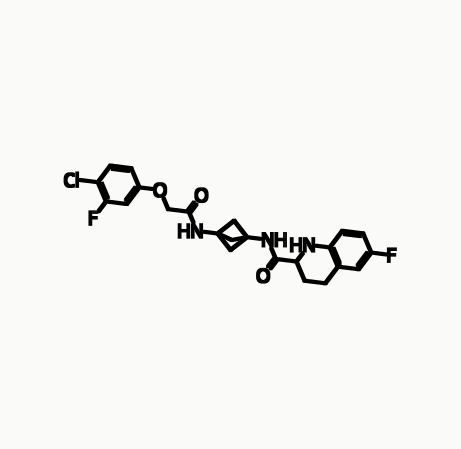 O=C(COc1ccc(Cl)c(F)c1)NC12CC(NC(=O)C3CCc4cc(F)ccc4N3)(C1)C2